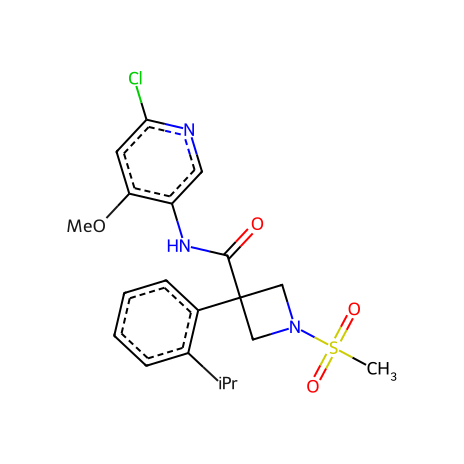 COc1cc(Cl)ncc1NC(=O)C1(c2ccccc2C(C)C)CN(S(C)(=O)=O)C1